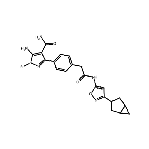 CC(C)n1nc(-c2ccc(CC(=O)Nc3cc(C4CC5CC5C4)no3)cc2)c(C(N)=O)c1N